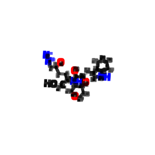 [N-]=[N+]=CC(=O)CC[C@H](NC(=O)[C@H](Cc1c[nH]c2ccccc12)OC1CCOCC1)C(=O)O